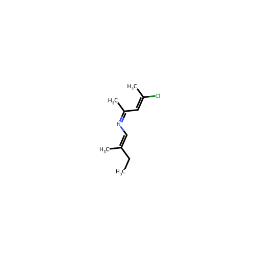 CC/C(C)=C/N=C(C)\C=C(/C)Cl